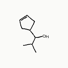 CC(C)C(O)C1CC=CC1